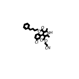 CC1=C(C(=O)OCCC#N)C(c2cccc(Cl)c2)C(C(=O)OCCCCc2ccccc2)=C(C)N1